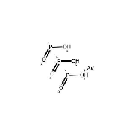 O=PO.O=PO.O=PO.[As]